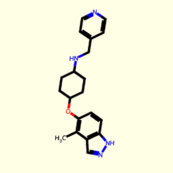 Cc1c(OC2CCC(NCc3ccncc3)CC2)ccc2[nH]ncc12